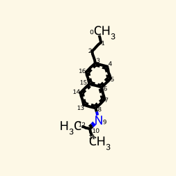 CCCc1ccc2cc(N=C(C)C)ccc2c1